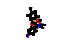 [C-]#[N+]C(c1ccc(I)cc1)S(=O)(=O)c1ccc(C)cc1